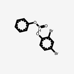 O=[PH](Oc1ccccc1)Oc1ccc(Br)cc1Br